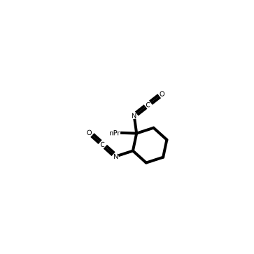 CCCC1(N=C=O)CCCCC1N=C=O